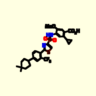 COc1cc(C(=O)O)c(C2CC2)cc1NS(=O)(=O)c1csc(-c2ccc(C3CCC(C)(C)CC3)cc2C(F)(F)F)n1